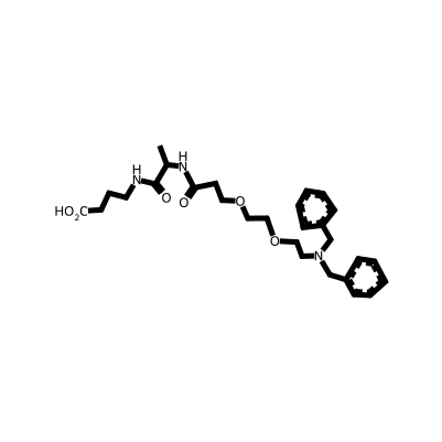 CC(NC(=O)CCOCCOCCN(Cc1ccccc1)Cc1ccccc1)C(=O)NCCCC(=O)O